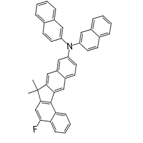 CC1(C)c2cc3cc(N(c4ccc5ccccc5c4)c4ccc5ccccc5c4)ccc3cc2-c2c1cc(F)c1ccccc21